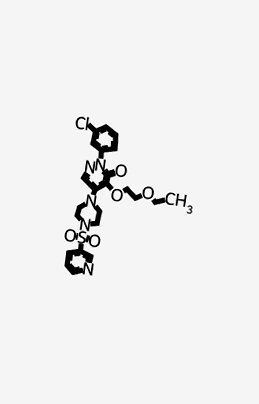 CCOCCOc1c(N2CCN(S(=O)(=O)c3cccnc3)CC2)cnn(-c2cccc(Cl)c2)c1=O